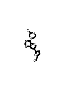 O=Cc1ccc(-c2cnc3c(N4CCOC(Cl)C4)ncnc3c2)o1